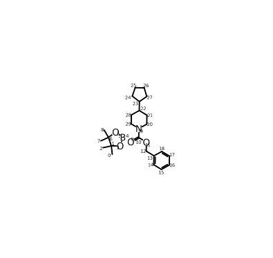 CC1(C)O[B]OC1(C)C.O=C(OCc1ccccc1)N1CCC(C2CCCC2)CC1